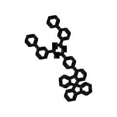 c1ccc(-c2cccc(-c3nc(-c4ccc(-c5cccc6c5-c5ccccc5C65c6ccccc6-c6ccccc65)cc4)nc(-c4cccc(-c5ccccc5)c4)n3)c2)cc1